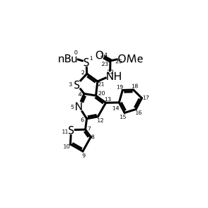 CCCCSc1sc2nc(-c3cccs3)cc(-c3ccccc3)c2c1NC(=O)OC